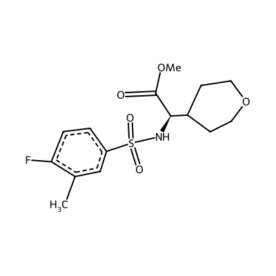 COC(=O)[C@H](NS(=O)(=O)c1ccc(F)c(C)c1)C1CCOCC1